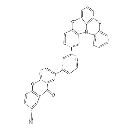 N#Cc1ccc2oc3ccc(-c4cccc(-c5ccc6c(c5)N5c7ccccc7Oc7cccc(c75)O6)c4)cc3c(=O)c2c1